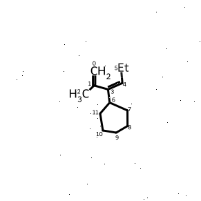 C=C(C)C(=CCC)C1CCCCC1